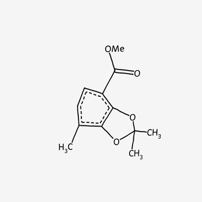 COC(=O)c1ccc(C)c2c1OC(C)(C)O2